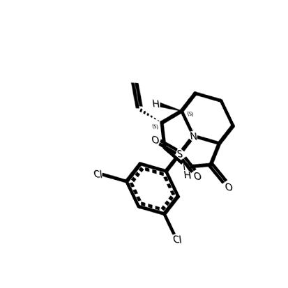 C=C[C@H]1CNC(=O)C2CCC[C@@H]1N2S(=O)(=O)c1cc(Cl)cc(Cl)c1